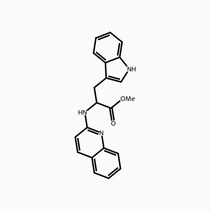 COC(=O)C(Cc1c[nH]c2ccccc12)Nc1ccc2ccccc2n1